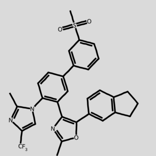 Cc1nc(-c2cc(-c3cccc(S(C)(=O)=O)c3)ccc2-n2cc(C(F)(F)F)nc2C)c(-c2ccc3c(c2)CCC3)o1